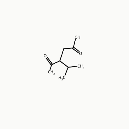 CC(=O)C(CC(=O)O)C(C)C